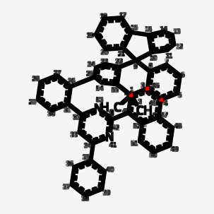 CC1(C)c2ccccc2C2(c3ccccc3-c3ccccc32)c2ccc(-c3ccccc3-c3cc(-c4ccccc4)nc(-c4cccc5ccccc45)n3)cc21